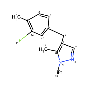 Cc1ccc(Cc2cnn(C(C)C)c2C)cc1F